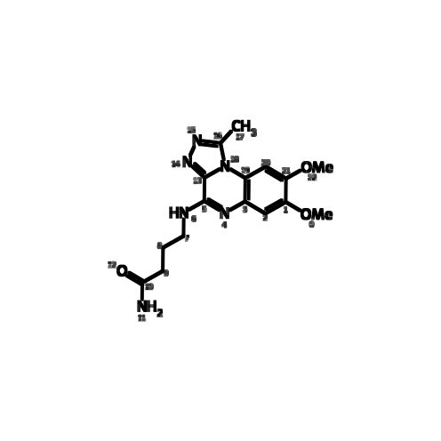 COc1cc2nc(NCCCC(N)=O)c3nnc(C)n3c2cc1OC